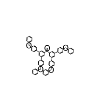 O=C(c1cc(-c2ccc(Oc3ccccc3)cc2)cc(-c2ccc(Oc3ccccc3)cc2)c1)c1cc(-c2ccc(Oc3ccccc3)cc2)cc(-c2ccc(Oc3ccccc3)cc2)c1